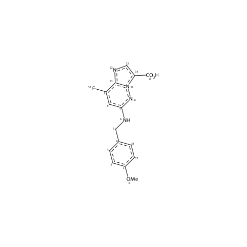 COc1ccc(CNc2cc(F)c3ncc(C(=O)O)n3n2)cc1